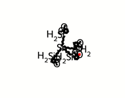 COc1cccc([SiH2]CCCCCC[Si](CCCCCC[SiH2]c2cccc(OC)c2OC)(CCCCCC[SiH2]c2cccc(OC)c2OC)CCCCCC[SiH2]c2cccc(OC)c2OC)c1OC